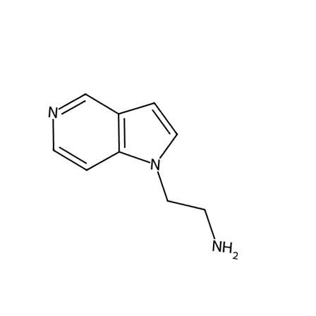 NCCn1ccc2cnccc21